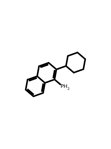 Pc1c(C2CCCCC2)ccc2ccccc12